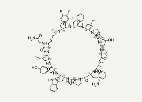 CCCC[C@H]1C(=O)N2CCO[C@@H]2C(=O)N[C@@H](CC(=O)O)N[C@@H](C(C)C)C(=O)N(C)C(Cc2ccccc2)C(=O)N[C@@H](CCCN)C2OC2N2CCC[C@@H]2C(=O)N[C@@H](Cc2c[nH]c3ccccc23)C(=O)N[C@@H](Cc2ccc(O)cc2)C(=O)N[C@@H](CCOC)C(=O)N[C@H](C(=O)NCC(N)=O)CSCC(=O)N[C@@H](Cc2cc(F)c(F)c(F)c2)C(=O)N(C)[C@@H](Cc2ccccc2)C(=O)N1C